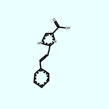 O=C(O)c1c[nH]c(C=Cc2ccccc2)n1